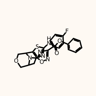 O=C(Nc1nc2c(s1)C1COCC(C2)N1c1nc(-c2ccc(F)cc2)no1)Oc1ccccc1